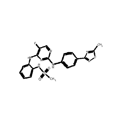 Cc1nc(-c2ccc(Nc3ncc(F)c(Nc4ccccc4NS(C)(=O)=O)n3)cc2)no1